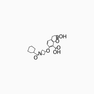 O=C(O)c1c(OC2CN(C(=O)C3CCCCC3)C2)ccc2c1OB(O)CC2